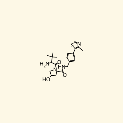 Cc1ncsc1-c1ccc(CNC(=O)C2CC(O)CN2C(=O)C(N)C(C)(C)C)cc1